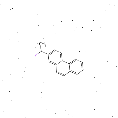 CC(I)c1ccc2c(ccc3ccccc32)c1